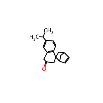 CC(C)c1ccc2c(c1)CC(=O)CC21CC2C=CC1C2